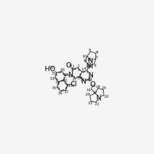 O=c1cc2c(N3CC4CCC(C3)N4)nc(OCC34CCCN3CCC4)nc2cn1-c1cc(O)cc2cccc(Cl)c12